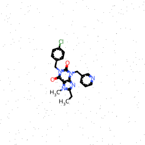 CCc1nc2c(c(=O)n(Cc3ccc(Cl)cc3)c(=O)n2Cc2cccnc2)n1C